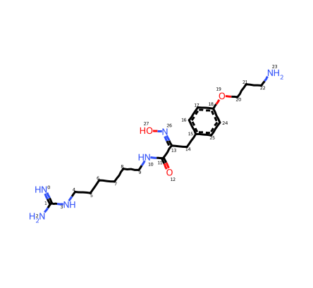 N=C(N)NCCCCCCNC(=O)C(Cc1ccc(OCCCN)cc1)=NO